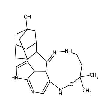 CC1(C)CCN/N=C(/C2C3CC4CC2CC(O)(C4)C3)c2c(cnc3[nH]ccc23)BO1